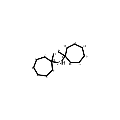 CC1(NC2(C)CCCCCC2)CCCCCC1